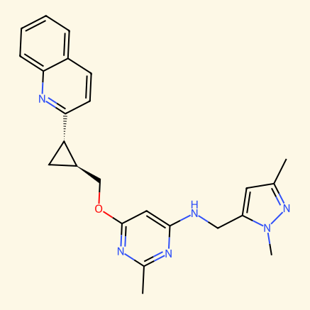 Cc1cc(CNc2cc(OC[C@H]3C[C@@H]3c3ccc4ccccc4n3)nc(C)n2)n(C)n1